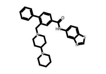 O=C(Nc1ccc2scnc2c1)c1ccc(-c2ccccc2)c(CN2CCC(N3CCCCC3)CC2)c1